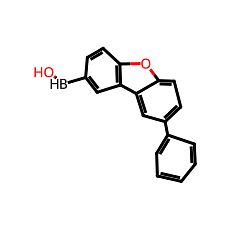 OBc1ccc2oc3ccc(-c4ccccc4)cc3c2c1